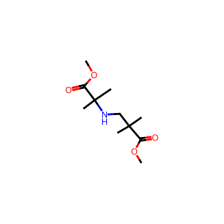 COC(=O)C(C)(C)CNC(C)(C)C(=O)OC